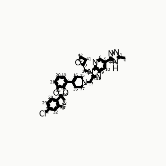 Cc1nnc(-c2cnc3c(c2)nc(CN2CC=C(c4cccc5c4OC(C)(c4ccc(Cl)cc4F)O5)CC2)n3C[C@@H]2CCO2)[nH]1